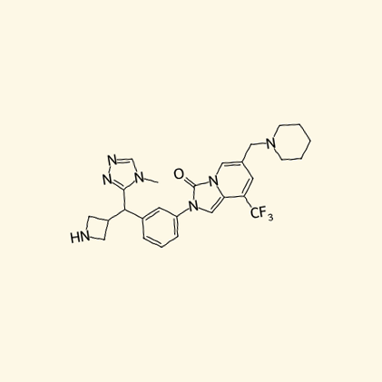 Cn1cnnc1C(c1cccc(-n2cc3c(C(F)(F)F)cc(CN4CCCCC4)cn3c2=O)c1)C1CNC1